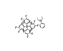 CCN(CC)c1ccccc1.Fc1cc(F)c([B-](c2c(F)cc(F)c(F)c2F)(c2c(F)cc(F)c(F)c2F)c2c(F)cc(F)c(F)c2F)c(F)c1F